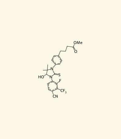 COC(=O)CCCc1ccc(N2C(=S)N(c3ccc(C#N)c(C(F)(F)F)c3F)C(O)C2(C)C)cc1